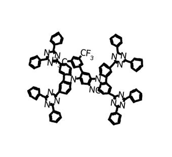 [C-]#[N+]c1cc(-n2c3ccc(-c4nc(-c5ccccc5)nc(-c5ccccc5)n4)cc3c3cc(-c4nc(-c5ccccc5)nc(-c5ccccc5)n4)ccc32)c(-c2cc(C)cc(C(F)(F)F)c2)cc1-n1c2ccc(-c3nc(-c4ccccc4)nc(-c4ccccc4)n3)cc2c2cc(-c3nc(-c4ccccc4)nc(-c4ccccc4)n3)ccc21